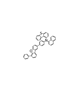 c1ccc(-c2cccc3c2oc2ccc(-c4ccc(N(c5cccc6ccccc56)c5cccc6sc7ccccc7c56)cc4)cc23)cc1